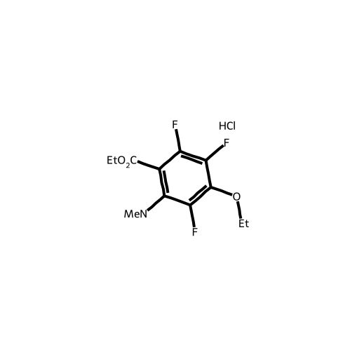 CCOC(=O)c1c(F)c(F)c(OCC)c(F)c1NC.Cl